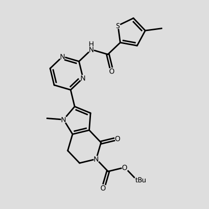 Cc1csc(C(=O)Nc2nccc(-c3cc4c(n3C)CCN(C(=O)OC(C)(C)C)C4=O)n2)c1